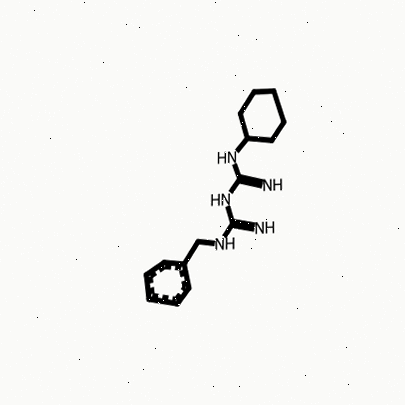 N=C(NCc1ccccc1)NC(=N)NC1CCCCC1